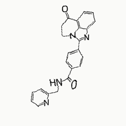 O=C(NCc1ccccn1)c1ccc(-c2nc3cccc4c3n2CCC4=O)cc1